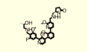 COc1cc(-c2nccc(-c3cccc(-c4ccc(CNC[C@H]5CCC(=O)N5)c(OC)n4)c3Cl)c2Cl)cc(F)c1CNC[C@H](C)O